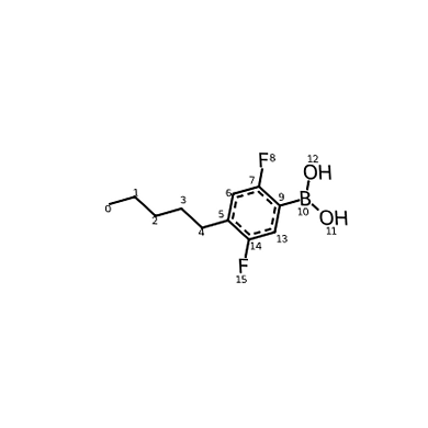 CCCCCc1cc(F)c(B(O)O)cc1F